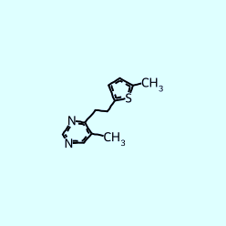 Cc1ccc(CCc2ncncc2C)s1